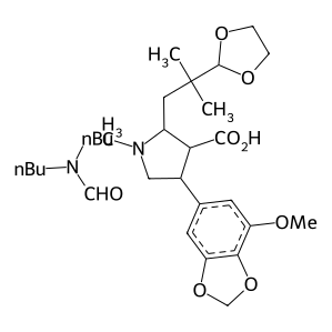 CCCCN(C=O)CCCC.COc1cc(C2CN(C)C(CC(C)(C)C3OCCO3)C2C(=O)O)cc2c1OCO2